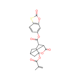 C=C(C)C(=O)OC12CC3CC1C(C(=O)Oc1ccc4sc(=O)oc4c1)C3C(=O)O2